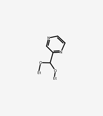 CCOC(OCC)c1cnccn1